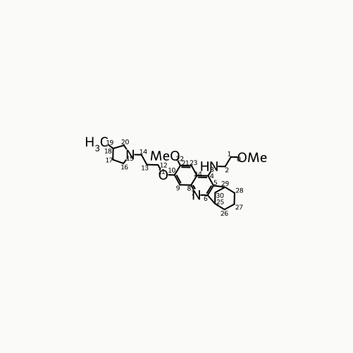 COCCNc1c2c(nc3cc(OCCCN4CCC(C)C4)c(OC)cc13)C1CCCC2C1